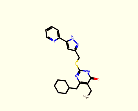 CCc1c(CC2CCCCC2)nc(SCc2cc(-c3ccccn3)[nH]n2)[nH]c1=O